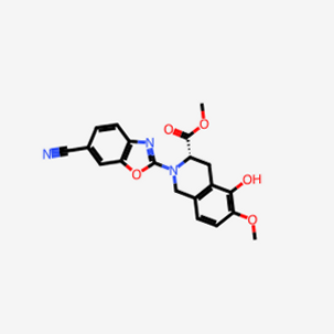 COC(=O)[C@@H]1Cc2c(ccc(OC)c2O)CN1c1nc2ccc(C#N)cc2o1